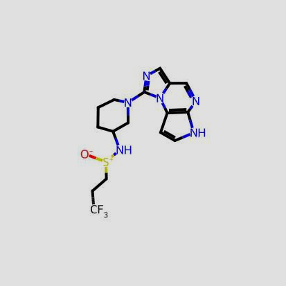 [O-][S+](CCC(F)(F)F)NC1CCCN(c2ncc3cnc4[nH]ccc4n23)C1